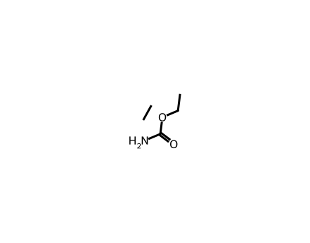 CC.CCOC(N)=O